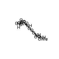 COc1cc(C(=O)NCCOCCOCCOCCNCC(=O)Nc2cccc3c2CN(C2CCC(=O)NC2=O)C3=O)ccc1N